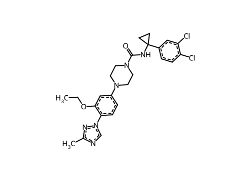 CCOc1cc(N2CCN(C(=O)NC3(c4ccc(Cl)c(Cl)c4)CC3)CC2)ccc1-n1cnc(C)n1